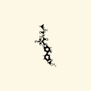 Cc1nc2cc(-c3cc4sc(C(C(=O)NCC(=O)NC5CC5)S(=O)(=O)C(C)C)nc4cc3F)ccc2s1